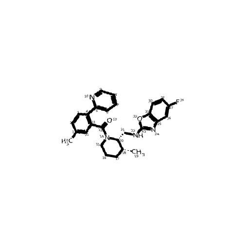 Cc1ccc(-c2ccccn2)c(C(=O)N2CCC[C@@H](C)[C@H]2CNc2nc3cc(F)ccc3o2)c1